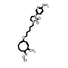 C=C1/C=C\C(OCCCCCN2CCN(c3ccc(N)nc3)S2(=O)=O)=C/CCC/C1=N\OCC